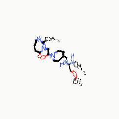 CNC(COC)NCC1CCN(C(=O)CN2C(=O)CC=CN=C2C)CC1